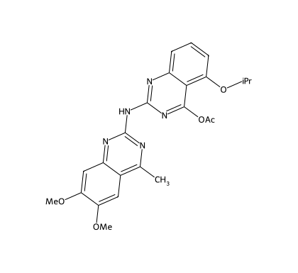 COc1cc2nc(Nc3nc(OC(C)=O)c4c(OC(C)C)cccc4n3)nc(C)c2cc1OC